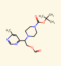 Cc1cc(C(COC=O)N2CCN(C(=O)OC(C)(C)C)CC2)ncn1